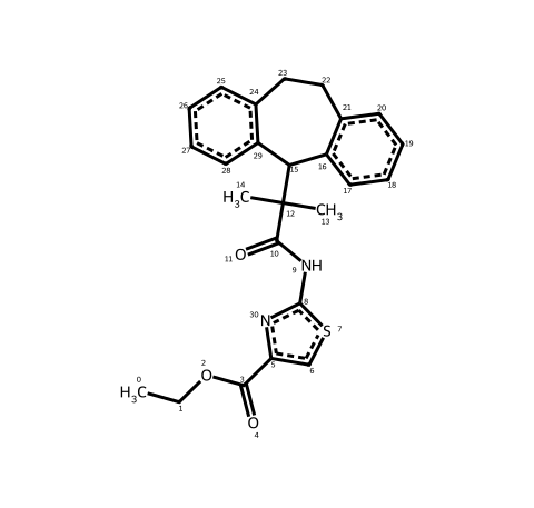 CCOC(=O)c1csc(NC(=O)C(C)(C)C2c3ccccc3CCc3ccccc32)n1